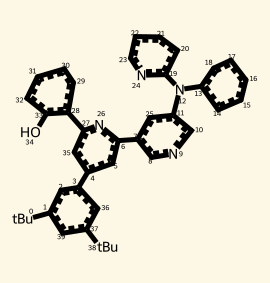 CC(C)(C)c1cc(-c2cc(-c3cncc(N(c4ccccc4)c4ccccn4)c3)nc(-c3ccccc3O)c2)cc(C(C)(C)C)c1